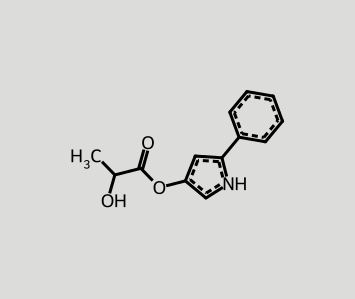 CC(O)C(=O)Oc1c[nH]c(-c2ccccc2)c1